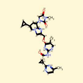 Cc1ccnc([C@H]2C[C@@H]2C(=O)Nc2ncc(C(F)(F)F)c(OCc3cn4cc(C5CC5)cc(N5CC(=O)N(C)C5=O)c4n3)n2)n1